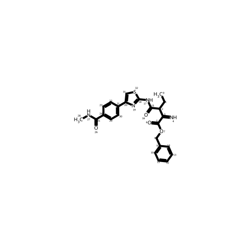 CCC(C(=N)C(=O)OCc1ccccc1)C(=O)Nc1nc(-c2ccc(C(=O)NC)cc2)cs1